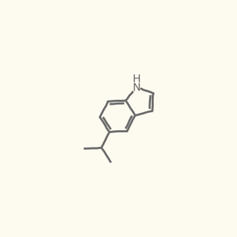 CC(C)c1ccc2[nH]ccc2c1